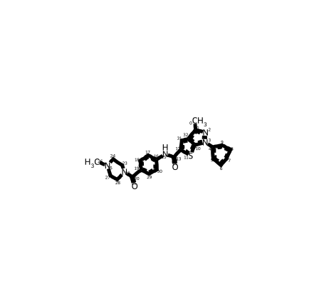 Cc1nn(-c2ccccc2)c2sc(C(=O)Nc3ccc(C(=O)N4CCN(C)CC4)cc3)cc12